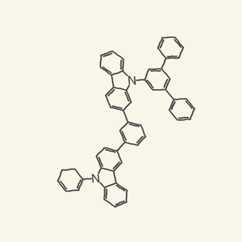 C1=CCCC(n2c3ccccc3c3cc(-c4cccc(-c5ccc6c7ccccc7n(-c7cc(-c8ccccc8)cc(-c8ccccc8)c7)c6c5)c4)ccc32)=C1